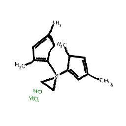 CC1=CC(C)[C]([Zr]2([C]3=C(C)C=C(C)C3)[CH2][CH2]2)=C1.Cl.Cl